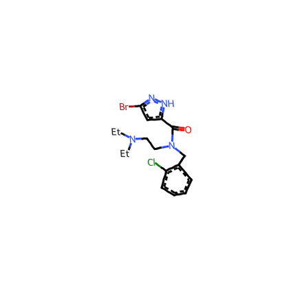 CCN(CC)CCN(Cc1ccccc1Cl)C(=O)c1cc(Br)n[nH]1